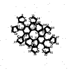 c1csc(-c2c(-c3cccs3)c(-c3cccs3)c3c(c2-c2cccs2)-c2cccnc2-c2c(-c4cccs4)c(-c4cccs4)c(-c4cccs4)c(-c4cccs4)c2-c2cccnc2-3)c1